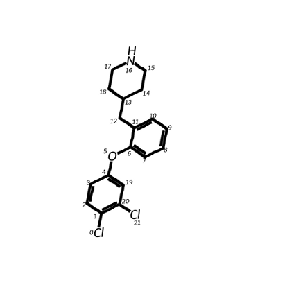 Clc1ccc(Oc2ccccc2CC2CCNCC2)cc1Cl